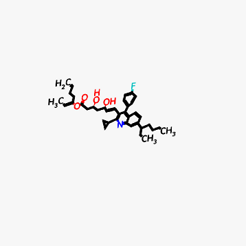 C=CCC/C(=C\C)OC(=O)C[C@H](O)C[C@H](O)/C=C/c1c(C2CC2)nc2cc(C(CC)CCCC)ccc2c1-c1ccc(F)cc1